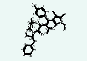 CCn1c(C)c(C)c2c(-c3ccc(Cl)cc3)c(C(OC(C)(C)C)C(=O)N3C(=O)OCC3Cc3ccccc3)c(C)nc21